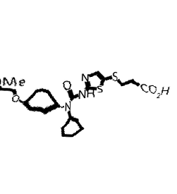 COCCO[C@H]1CC[C@H](N(C(=O)Nc2ncc(SCCC(=O)O)s2)C2CCCCC2)CC1